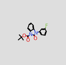 CC(C)(C)OC(=O)n1c(=O)n(-c2cccc(F)c2)c2ccccc21